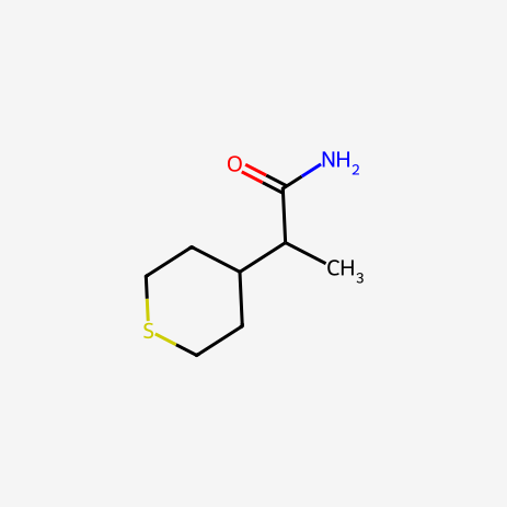 CC(C(N)=O)C1CCSCC1